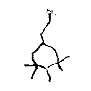 CN1C(C)(C)CC(CCN)CC1(C)C